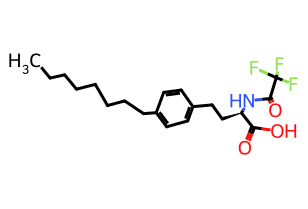 CCCCCCCCc1ccc(CC[C@@H](NC(=O)C(F)(F)F)C(=O)O)cc1